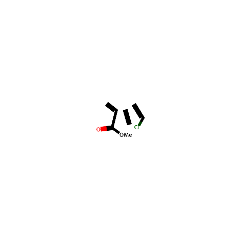 C=C.C=CC(=O)OC.C=CCl